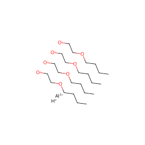 CCCCOCC[O-].CCCCOCC[O-].CCCCOCC[O-].CCCCOCC[O-].[Al+3].[H+]